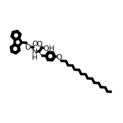 CCCCCCCCCCCCCCCCOc1ccc(C[C@H](NC(=O)OCC2c3ccccc3-c3ccccc32)C(=O)O)cc1